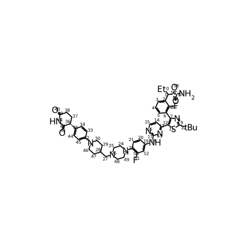 CCC(c1cccc(-c2nc(C(C)(C)C)sc2-c2ccnc(Nc3ccc(N4CCN(CC5CCN(c6ccc([C@@H]7CCC(=O)NC7=O)cc6)CC5)CC4)c(F)c3)n2)c1F)S(N)(=O)=O